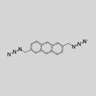 [N-]=[N+]=NCc1ccc2cc3cc(CN=[N+]=[N-])ccc3cc2c1